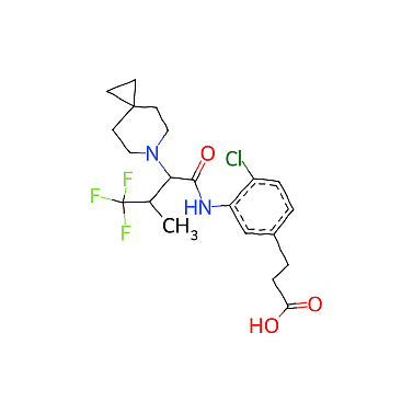 CC(C(C(=O)Nc1cc(CCC(=O)O)ccc1Cl)N1CCC2(CC1)CC2)C(F)(F)F